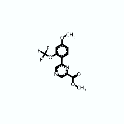 COC(=O)c1cncc(-c2ccc(OC)cc2OC(F)(F)F)n1